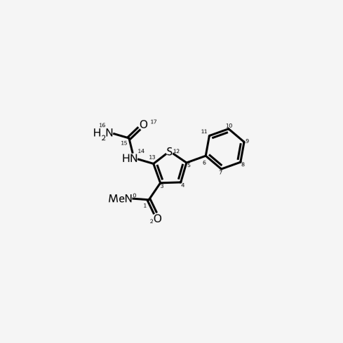 CNC(=O)c1cc(-c2ccccc2)sc1NC(N)=O